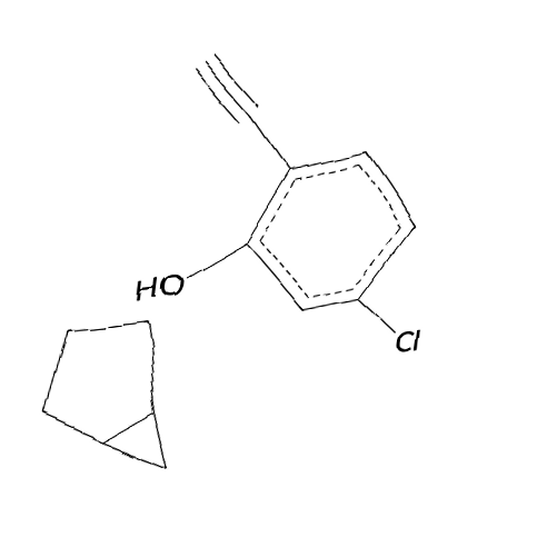 C#Cc1ccc(Cl)cc1O.C1CC2CC2C1